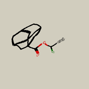 CCCCC(Cl)OC(=O)C12CC3CC(CC(C3)C1)C2